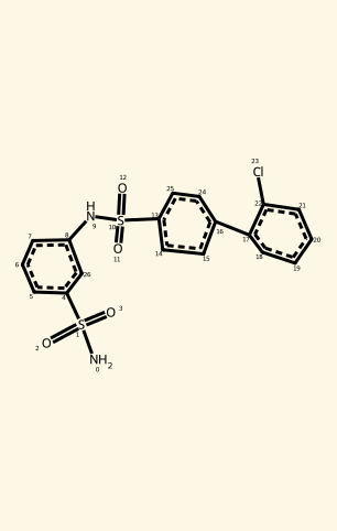 NS(=O)(=O)c1cccc(NS(=O)(=O)c2ccc(-c3ccccc3Cl)cc2)c1